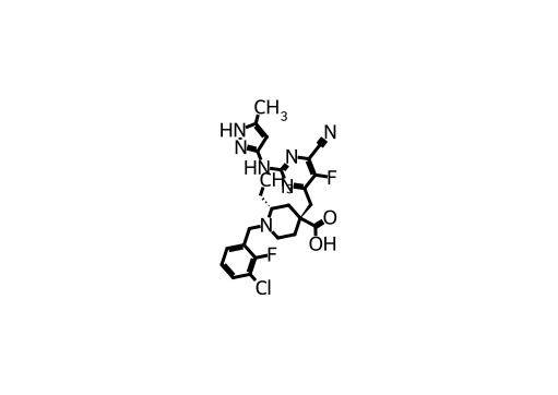 CC[C@@H]1C[C@](Cc2nc(Nc3cc(C)[nH]n3)nc(C#N)c2F)(C(=O)O)CCN1Cc1cccc(Cl)c1F